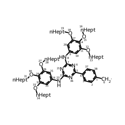 [CH2]c1ccc(-c2nc(Nc3cc(OCCCCCCC)c(OCCCCCCC)c(OCCCCCCC)c3)nc(Nc3cc(OCCCCCCC)c(OCCCCCCC)c(OCCCCCCC)c3)n2)cc1